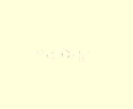 CC(C)(Oc1ccc(Sc2ccc(Cl)cc2)cc1)C(=O)O